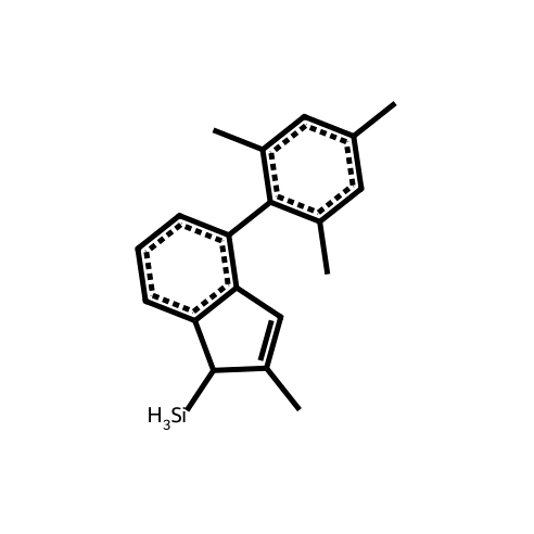 CC1=Cc2c(-c3c(C)cc(C)cc3C)cccc2C1[SiH3]